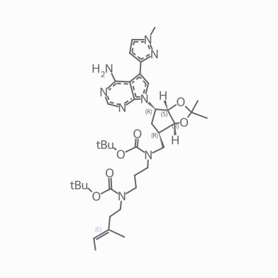 C/C=C(\C)CCN(CCCN(C[C@H]1C[C@@H](n2cc(-c3ccn(C)n3)c3c(N)ncnc32)[C@@H]2OC(C)(C)O[C@H]12)C(=O)OC(C)(C)C)C(=O)OC(C)(C)C